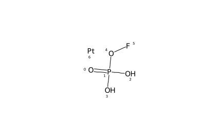 O=P(O)(O)OF.[Pt]